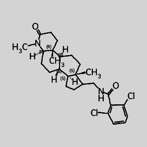 CN1C(=O)CC[C@]2(C)[C@H]3CC[C@]4(C)C(CNC(=O)c5c(Cl)cccc5Cl)CC[C@H]4[C@@H]3CC[C@@H]12